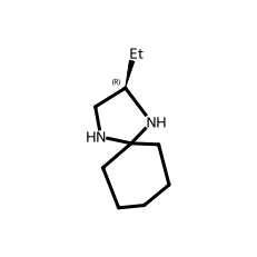 CC[C@@H]1CNC2(CCCCC2)N1